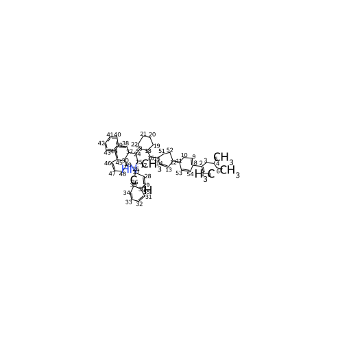 C/C=C(\CC(C)CC)C1=CCC(C2C=CC(C(C)C3CCCCC3C(CNC3C=C[C@H]4C=CC=CC4C3)C3C=c4ccccc4=C4C=CCCC43)CC2)C=C1